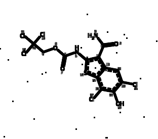 NC(=O)c1c(NC(=O)OCC(Cl)(Cl)Cl)sc2c(Cl)c(O)c(Cl)cc12